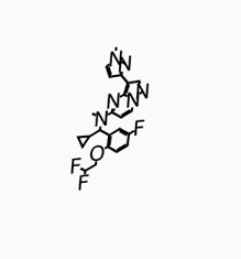 CN(c1ccn2ncc(-c3ccn(C)n3)c2n1)C(c1cc(F)ccc1OCC(F)F)C1CC1